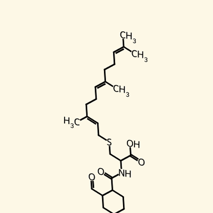 CC(C)=CCC/C(C)=C/CC/C(C)=C/CSCC(NC(=O)C1CCCCC1C=O)C(=O)O